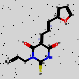 C=CCN1C(=O)/C(=C/C=C/c2ccco2)C(=O)NC1=S